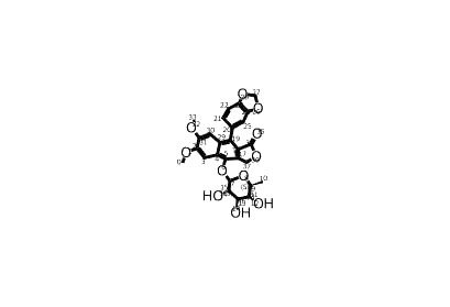 COc1cc2c(OC3O[C@@H](C)[C@@H](O)[C@@H](O)[C@@H]3O)c3c(c(-c4ccc5c(c4)OCO5)c2cc1OC)C(=O)OC3